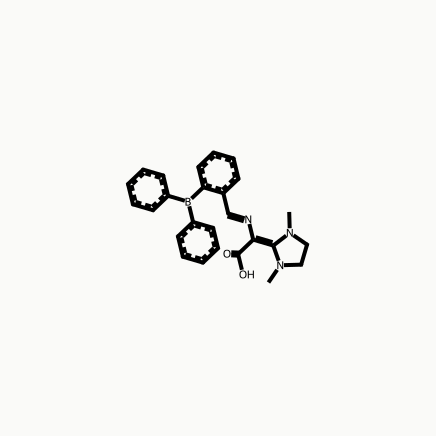 CN1CCN(C)C1=C(N=Cc1ccccc1B(c1ccccc1)c1ccccc1)C(=O)O